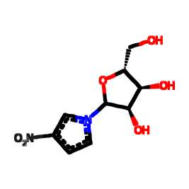 O=[N+]([O-])c1ccn(C2O[C@H](CO)[C@@H](O)[C@H]2O)c1